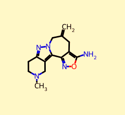 C=C1Cc2c(noc2N)-c2c3c(nn2C1)CCN(C)C3